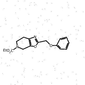 CCOC(=O)N1CCc2nc(COc3ccccc3)oc2C1